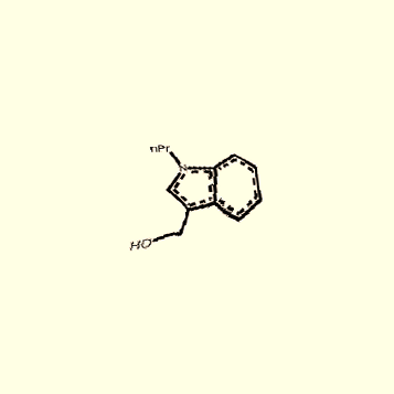 CCCn1cc(CO)c2ccccc21